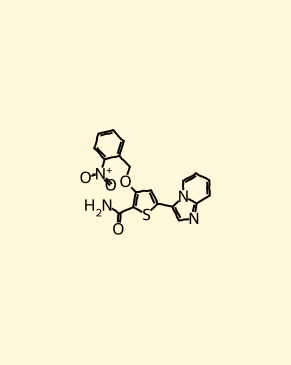 NC(=O)c1sc(-c2cnc3ccccn23)cc1OCc1ccccc1[N+](=O)[O-]